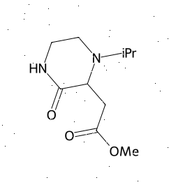 COC(=O)CC1C(=O)NCCN1C(C)C